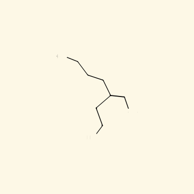 O=CCCCC(CC=O)CCO